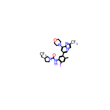 Cc1cc(I)c(NC(=O)N2CC[C@@H](CC(F)(F)F)C2)cc1-c1cc(N2CCOCC2)c2nc(C(F)(F)F)cn2c1